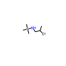 CCC(C)CN[Si](C)(C)C